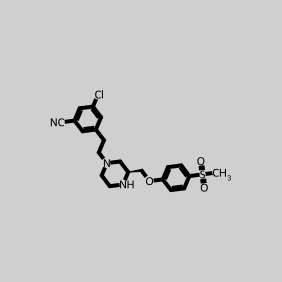 CS(=O)(=O)c1ccc(OC[C@@H]2CN(CCc3cc(Cl)cc(C#N)c3)CCN2)cc1